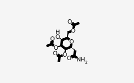 CC(=O)OC[C@H]1O[C@H](CC(N)=O)[C@@H](OC(C)=O)[C@@H](OC(C)=O)[C@@H]1O